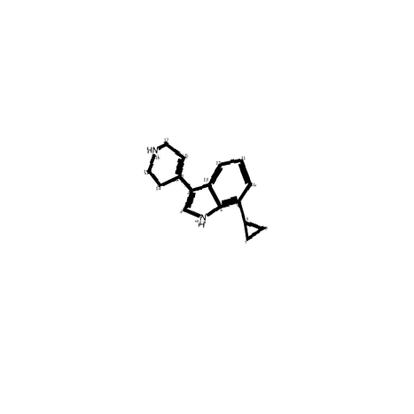 C1=C(c2c[nH]c3c(C4CC4)cccc23)CCNC1